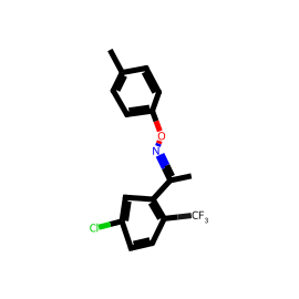 C/C(=N\Oc1ccc(C)cc1)c1cc(Cl)ccc1C(F)(F)F